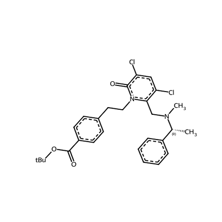 C[C@H](c1ccccc1)N(C)Cc1c(Cl)cc(Cl)c(=O)n1CCc1ccc(C(=O)OC(C)(C)C)cc1